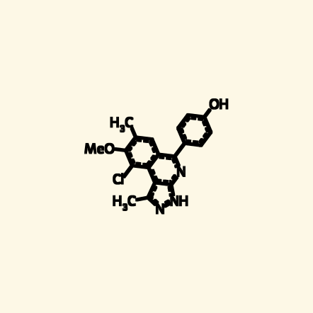 COc1c(C)cc2c(-c3ccc(O)cc3)nc3[nH]nc(C)c3c2c1Cl